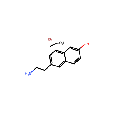 Br.CC(=O)O.NCCc1ccc2cc(O)ccc2c1